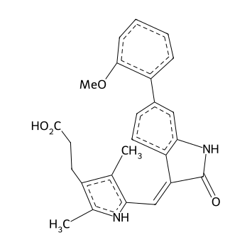 COc1ccccc1-c1ccc2c(c1)NC(=O)C2=Cc1[nH]c(C)c(CCC(=O)O)c1C